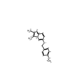 COc1ccc(COc2ccc3nc(N)c(C)n3c2)cc1